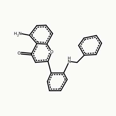 Nc1cccc2oc(-c3ccccc3NCc3ccccc3)cc(=O)c12